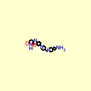 CN(c1ccc(N2CCC(CN3CCC4(CC3)CC(N)C4)CC2)cc1)C1CCC(=O)NC1=O